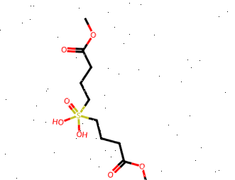 COC(=O)CCCS(=O)(O)(O)CCCC(=O)OC